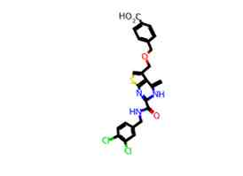 C=C1NC(C(=O)NCc2ccc(Cl)c(Cl)c2)=Nc2scc(COCc3ccc(C(=O)O)cc3)c21